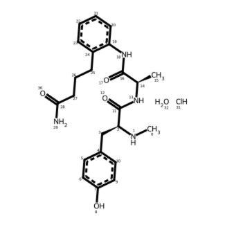 CN[C@@H](Cc1ccc(O)cc1)C(=O)N[C@H](C)C(=O)Nc1ccccc1CCCC(N)=O.Cl.O